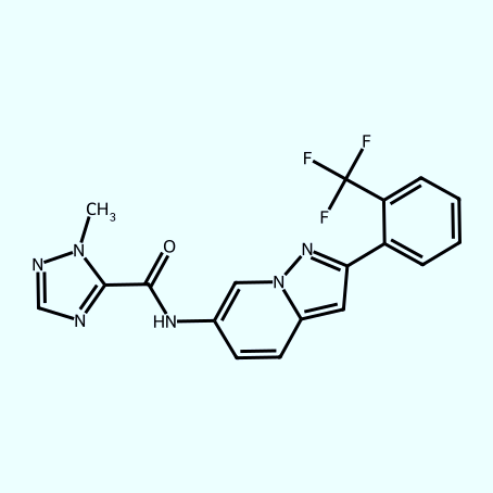 Cn1ncnc1C(=O)Nc1ccc2cc(-c3ccccc3C(F)(F)F)nn2c1